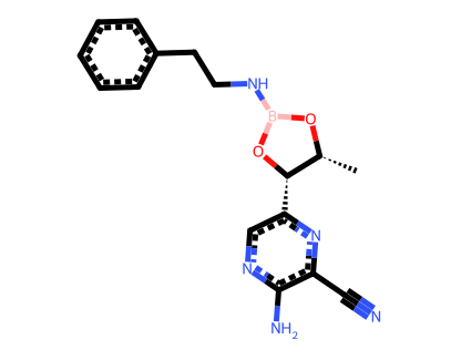 C[C@H]1OB(NCCc2ccccc2)O[C@H]1c1cnc(N)c(C#N)n1